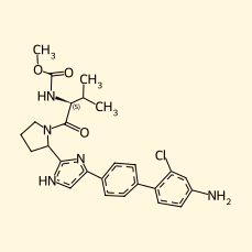 COC(=O)N[C@H](C(=O)N1CCCC1c1nc(-c2ccc(-c3ccc(N)cc3Cl)cc2)c[nH]1)C(C)C